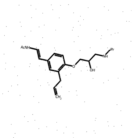 C=CCc1cc(C=CNC(C)=O)ccc1OCC(O)CNC(C)C